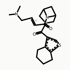 CN(C)C/C=C/C(=O)N1C2CC1CN(C(=O)c1csc3c1CCCC3)C2